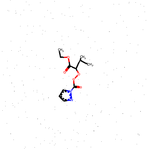 CCOC(=O)C(OOC(=O)n1cccn1)C(C)C